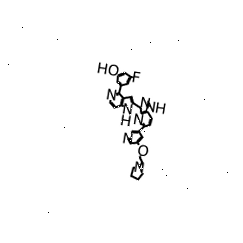 Oc1cc(F)cc(-c2nccc3[nH]c(-c4n[nH]c5ccc(-c6cncc(OCCN7CCCC7)c6)nc45)cc23)c1